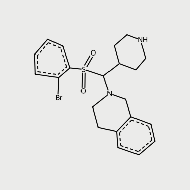 O=S(=O)(c1ccccc1Br)C(C1CCNCC1)N1CCc2ccccc2C1